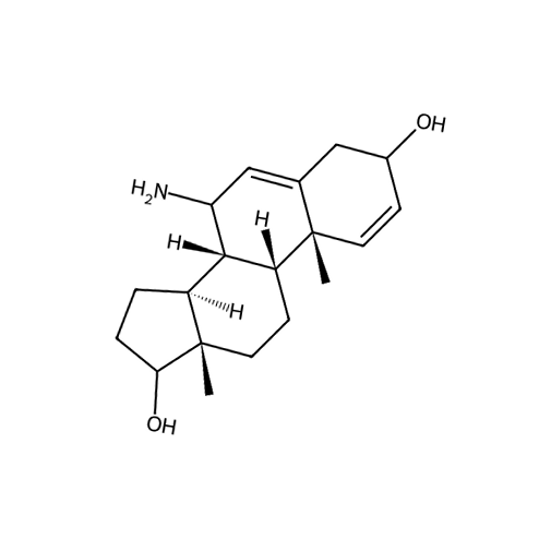 C[C@]12C=CC(O)CC1=CC(N)[C@@H]1[C@H]2CC[C@]2(C)C(O)CC[C@@H]12